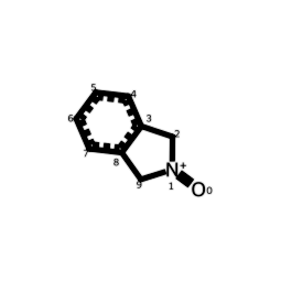 O=[N+]1Cc2ccccc2C1